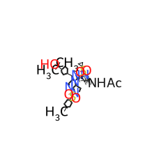 CC(=O)N[C@@H]1C[C@@H](c2nc(-c3ccc(C(C)(C)O)cc3)c3cnc4c(ccn4S(=O)(=O)c4ccc(C)cc4)n23)N(S(=O)(=O)C2CC2)C1